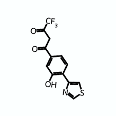 O=C(CC(=O)C(F)(F)F)c1ccc(-c2cscn2)c(O)c1